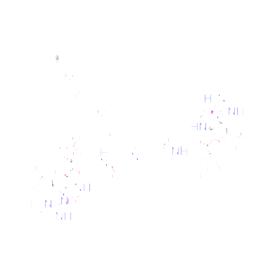 C#CCOCCOCCOCCOCCC(=O)N(CCCC(=O)NCCO[C@@H]([C@@H]1OC(C(=O)OC)=C[C@H](N=C(N)N)[C@H]1NC(C)=O)[C@H]1COC(=O)O1)CCC(=O)NCCO[C@@H]([C@@H]1OC(C(=O)OC)=C[C@H](N=C(N)N)[C@H]1NC(C)=O)[C@H]1COC(=O)O1